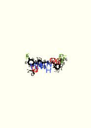 CC(C)Oc1ccc(F)cc1-c1cc(CNC(=O)c2ccccc2OC(F)(F)F)n[nH]1